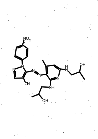 Cc1cc(NCC(C)O)nc(NCC(C)O)c1N=Nc1c(C#N)cnn1-c1ccc([N+](=O)[O-])cc1